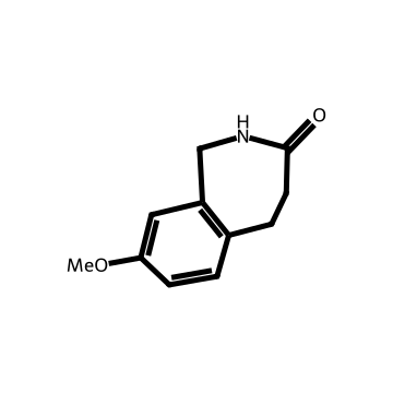 COc1ccc2c(c1)CNC(=O)CC2